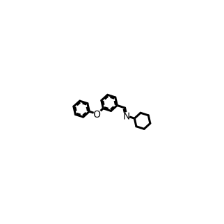 C(=N\C1CCCCC1)/c1cccc(Oc2ccccc2)c1